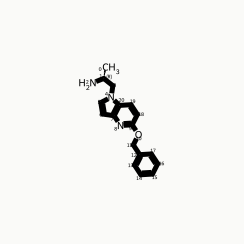 C[C@@H](N)Cn1ccc2nc(OCc3ccccc3)ccc21